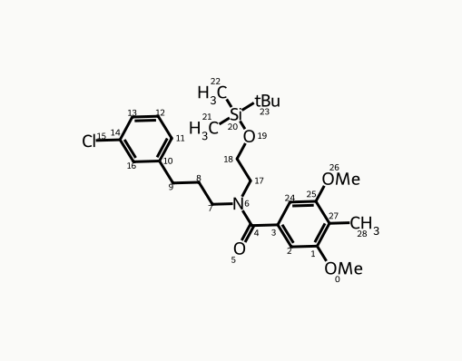 COc1cc(C(=O)N(CCCc2cccc(Cl)c2)CCO[Si](C)(C)C(C)(C)C)cc(OC)c1C